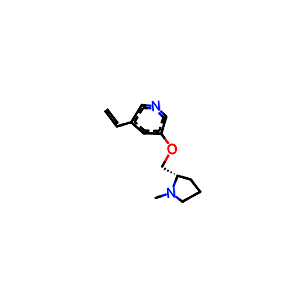 C=Cc1cncc(OC[C@@H]2CCCN2C)c1